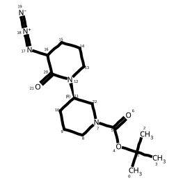 CC(C)(C)OC(=O)N1CCC[C@@H](N2CCCC(N=[N+]=[N-])C2=O)C1